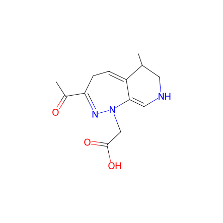 CC(=O)C1=NN(CC(=O)O)C2=CNCC(C)C2=CC1